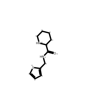 O=C(NCc1cccs1)C1CCCCN1